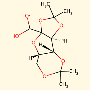 CC1(C)OC[C@@H]2OC3(C([O])O)OC(C)(C)O[C@H]3[C@@H]2O1